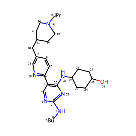 CCCCNc1ncc(-c2ccc(CC3CCN(C(C)C)CC3)cn2)c(NC2CCC(O)CC2)n1